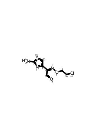 Nc1nc(C([C]=O)=NOCCCl)cs1